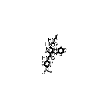 CCNC(=O)Nc1cc(Nc2ccccc2)c(C(=O)Nc2ccc(N(C)C)nc2)cn1